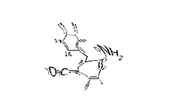 NC1=CC=CC(=C=O)C1c1ccccc1